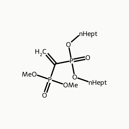 C=C(P(=O)(OC)OC)P(=O)(OCCCCCCC)OCCCCCCC